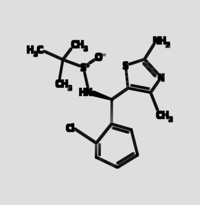 Cc1nc(N)sc1[C@H](N[S+]([O-])C(C)(C)C)c1ccccc1Cl